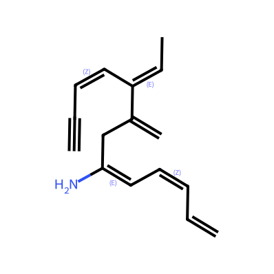 C#C/C=C\C(=C/C)C(=C)C/C(N)=C\C=C/C=C